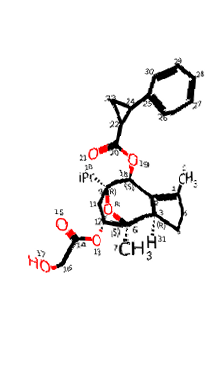 CC1=C2[C@@H](CC1)[C@]1(C)O[C@@](C(C)C)(C[C@H]1OC(=O)CO)[C@H]2OC(=O)C1CC1c1ccccc1